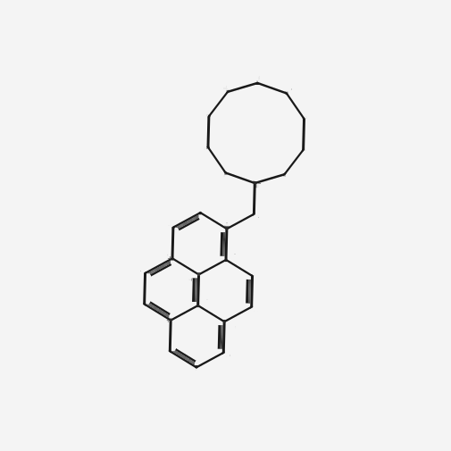 c1cc2ccc3ccc(C[C]4CCCCCCCCC4)c4ccc(c1)c2c34